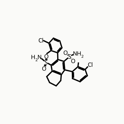 Cc1c(Cl)cccc1-c1c2c(c(S(N)(=O)=O)c(-c3cccc(Cl)c3C)c1S(N)(=O)=O)CCCC2